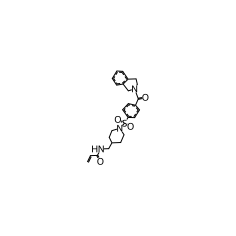 C=CC(=O)NCC1CCN(S(=O)(=O)c2ccc(C(=O)N3CCc4ccccc4C3)cc2)CC1